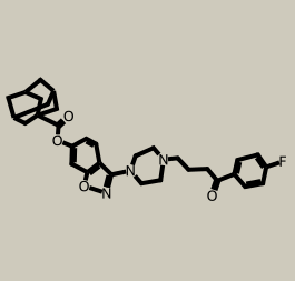 O=C(CCCN1CCN(c2noc3cc(OC(=O)C45CC6CC(CC(C6)C4)C5)ccc23)CC1)c1ccc(F)cc1